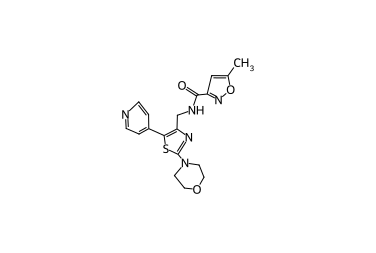 Cc1cc(C(=O)NCc2nc(N3CCOCC3)sc2-c2ccncc2)no1